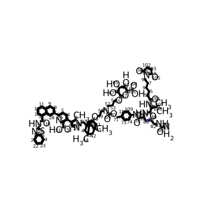 Cc1c(-c2ccc(-c3ccc4cccc(C(=O)Nc5nc6ccccc6s5)c4c3)nc2C(=O)O)cnn1CC12CC3(C)CC(C)(C1)CC(OCCN(CCCO[C@H]1O[C@@H](C(=O)O)[C@H](O)C(O)[C@@H]1O)C(=O)OCc1ccc(NC(=O)[C@H](/C=C/CNC(N)=O)NC(=O)[C@@H](NC(=O)CCCCCN4C(=O)C=CC4=O)C(C)C)cc1)(C3)C2